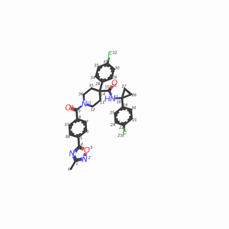 Cc1noc(-c2ccc(C(=O)N3CCC(C(=O)NC4(c5ccc(F)cc5)CC4)(c4ccc(F)cc4)CC3)cc2)n1